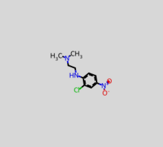 CN(C)CCNc1ccc([N+](=O)[O-])cc1Cl